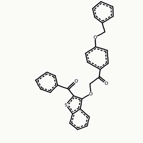 O=C(COc1c(C(=O)c2ccccc2)sc2ccccc12)c1ccc(OCc2ccccc2)cc1